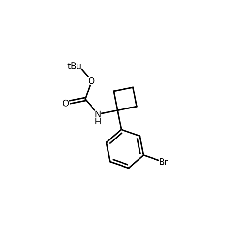 CC(C)(C)OC(=O)NC1(c2cccc(Br)c2)CCC1